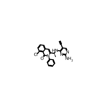 C#Cc1cnc(N)nc1N[C@@H](C)c1cc2cccc(Cl)c2c(=O)n1-c1ccccc1